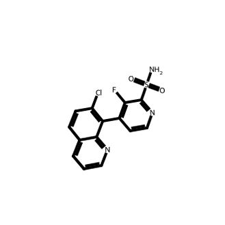 NS(=O)(=O)c1nccc(-c2c(Cl)ccc3cccnc23)c1F